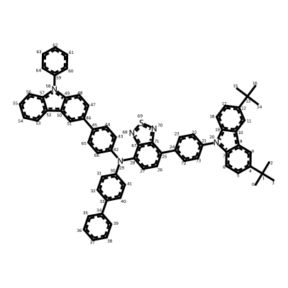 CC(C)(C)c1ccc2c(c1)c1cc(C(C)(C)C)ccc1n2-c1ccc(-c2ccc(N(c3ccc(-c4ccccc4)cc3)c3ccc(-c4ccc5c(c4)c4ccccc4n5-c4ccccc4)cc3)c3nsnc23)cc1